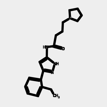 CCc1ccccc1-c1cc(NC(=O)CCCN2CCCC2)[nH]n1